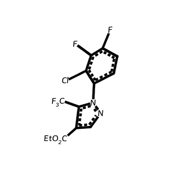 CCOC(=O)c1cnn(-c2ccc(F)c(F)c2Cl)c1C(F)(F)F